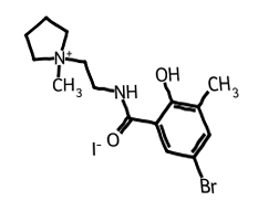 Cc1cc(Br)cc(C(=O)NCC[N+]2(C)CCCC2)c1O.[I-]